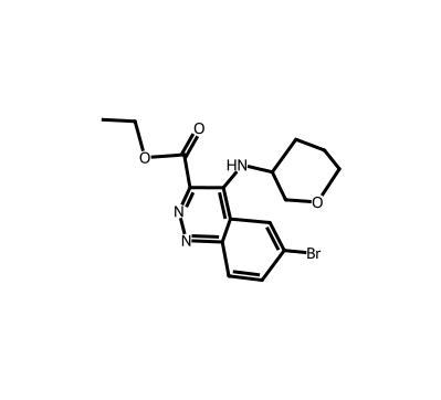 CCOC(=O)c1nnc2ccc(Br)cc2c1NC1CCCOC1